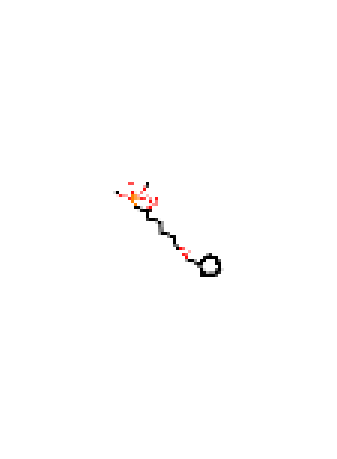 COP(=O)(CC(=O)CCCCCOCc1ccccc1)OC